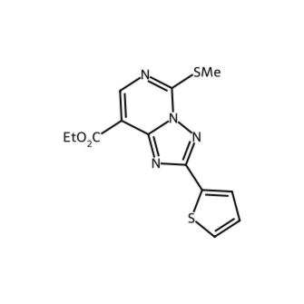 CCOC(=O)c1cnc(SC)n2nc(-c3cccs3)nc12